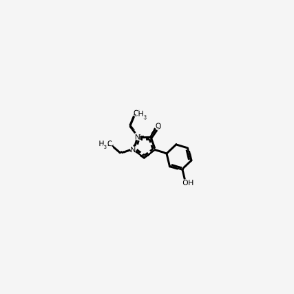 CCn1cc(C2C=C(O)C=CC2)c(=O)n1CC